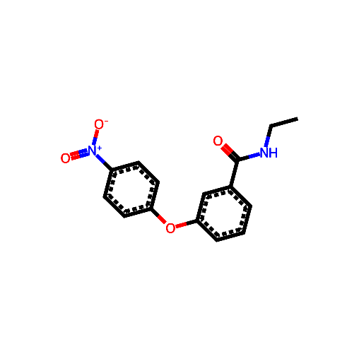 CCNC(=O)c1cccc(Oc2ccc([N+](=O)[O-])cc2)c1